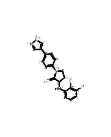 O=C1C(Nc2cccc(F)c2F)CCN1c1ccc(-c2cn[nH]c2)cc1